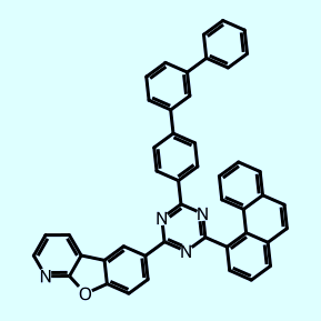 c1ccc(-c2cccc(-c3ccc(-c4nc(-c5ccc6oc7ncccc7c6c5)nc(-c5cccc6ccc7ccccc7c56)n4)cc3)c2)cc1